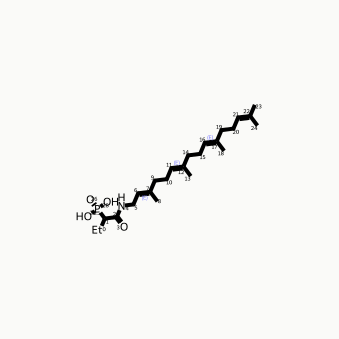 CCC(C(=O)NC/C=C(\C)CC/C=C(\C)CC/C=C(\C)CCC=C(C)C)P(=O)(O)O